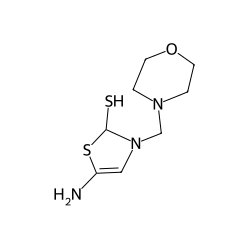 NC1=CN(CN2CCOCC2)C(S)S1